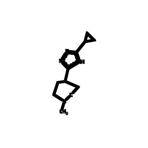 CN1CCC(c2nnc(C3CC3)[nH]2)CC1